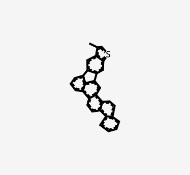 Cc1csc2cc3c(cc12)-c1cccc2c1c-3cc1c2ccc2c3ccccc3ccc21